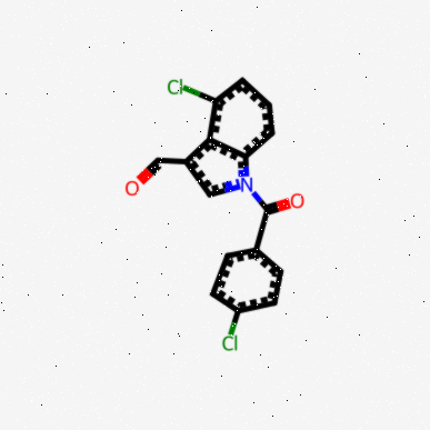 O=Cc1cn(C(=O)c2ccc(Cl)cc2)c2cccc(Cl)c12